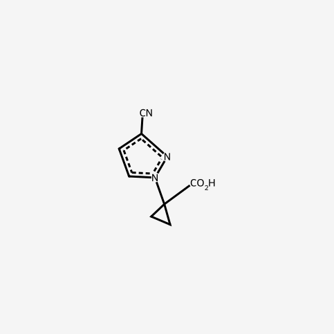 N#Cc1ccn(C2(C(=O)O)CC2)n1